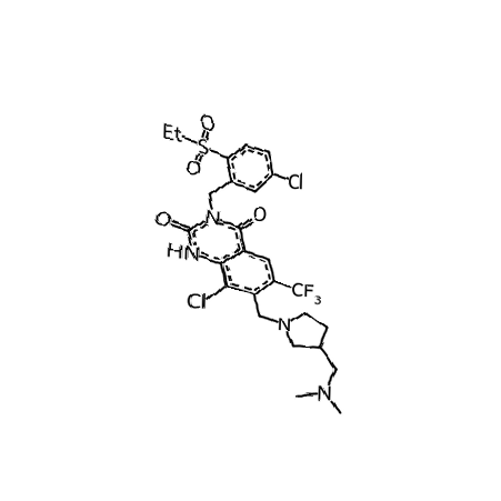 CCS(=O)(=O)c1ccc(Cl)cc1Cn1c(=O)[nH]c2c(Cl)c(CN3CCC(CN(C)C)C3)c(C(F)(F)F)cc2c1=O